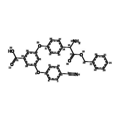 N#Cc1ccc(Oc2cc(Oc3ccc(C(N)C(=O)OCc4ccccc4)cc3)cc(C(=O)O)c2)cc1